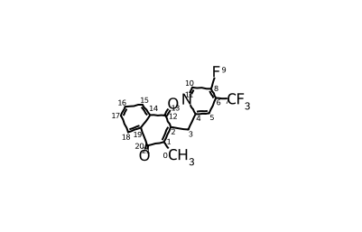 CC1=C(Cc2cc(C(F)(F)F)c(F)cn2)C(=O)c2ccccc2C1=O